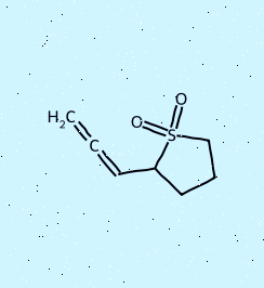 C=C=CC1CCCS1(=O)=O